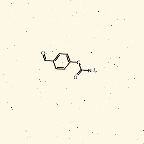 NC(=O)Oc1ccc(C=O)cc1